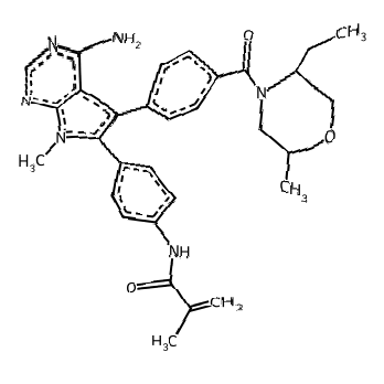 C=C(C)C(=O)Nc1ccc(-c2c(-c3ccc(C(=O)N4CC(C)OCC4CC)cc3)c3c(N)ncnc3n2C)cc1